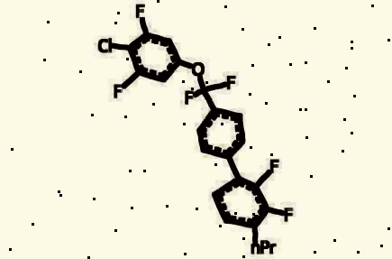 CCCc1ccc(-c2ccc(C(F)(F)Oc3cc(F)c(Cl)c(F)c3)cc2)c(F)c1F